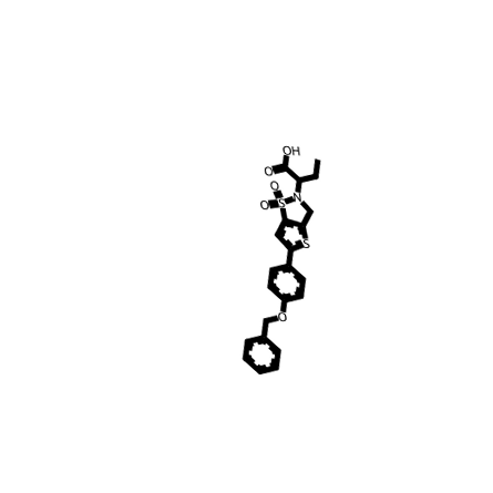 CCC(C(=O)O)N1Cc2sc(-c3ccc(OCc4ccccc4)cc3)cc2S1(=O)=O